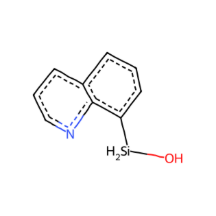 O[SiH2]c1cccc2cccnc12